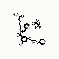 NC(=O)CCCCCN(Cc1ccco1)C(=O)c1cc(Cl)cc(OCCNc2ccncc2)c1.O=C(O)C(F)(F)F